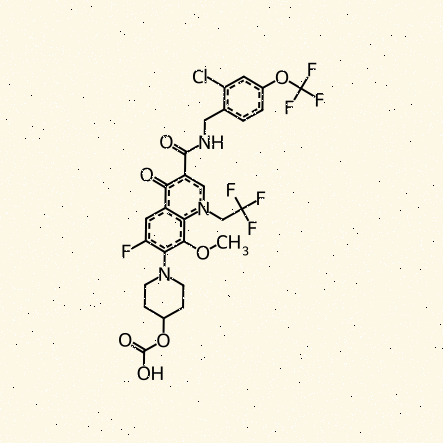 COc1c(N2CCC(OC(=O)O)CC2)c(F)cc2c(=O)c(C(=O)NCc3ccc(OC(F)(F)F)cc3Cl)cn(CC(F)(F)F)c12